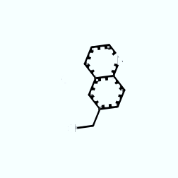 Cl.ClCc1ccc2ncccc2c1